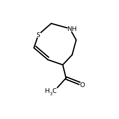 CC(=O)C1C=CSCNCC1